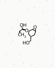 C=CC(=O)O.OCC1CCC2OC2C1